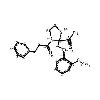 COc1ccccc1OCC1(C(C)=S)SCCN1C(=O)CCc1ccccc1